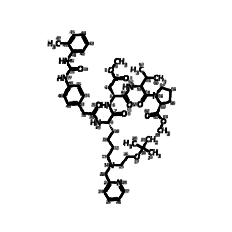 COC(=O)C[C@H](NC(=O)[C@H](CCCCN(CCOC(C)(C)C)Cc1ccccn1)NC(=O)Cc1ccc(NC(=O)Nc2ccccc2C)cc1)C(=O)N[C@H](C(=O)N1CCC[C@H]1C(=O)OC)C(C)C